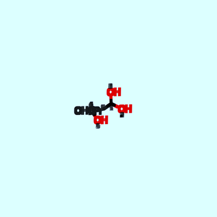 CCCC(O)O.O=CO